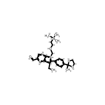 CCc1c(-c2ccc(C3(C)OCCO3)cc2)n(COCC[Si](C)(C)C)c2ncc(C=O)nc12